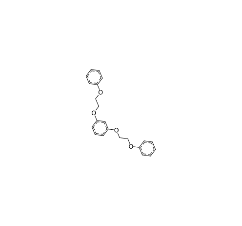 c1ccc(OCCOc2cccc(OCCOc3ccccc3)c2)cc1